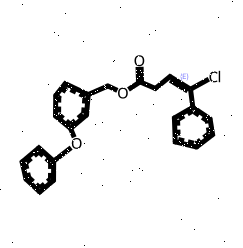 O=C(C/C=C(/Cl)c1ccccc1)OCc1cccc(Oc2ccccc2)c1